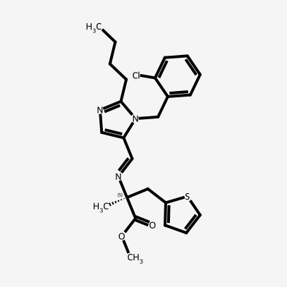 CCCCc1ncc(C=N[C@@](C)(Cc2cccs2)C(=O)OC)n1Cc1ccccc1Cl